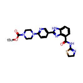 CC(C)(C)OC(=O)N1CCN(c2ccc(-c3nc4c(C(=O)NC5=NCCS5)cccc4[nH]3)cn2)CC1